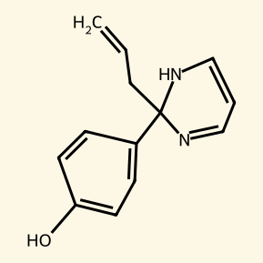 C=CCC1(c2ccc(O)cc2)N=CC=CN1